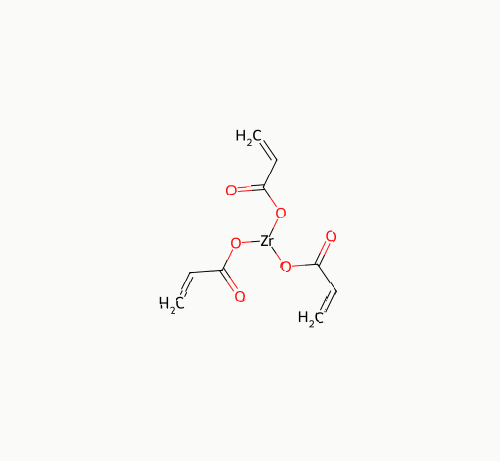 C=CC(=O)[O][Zr]([O]C(=O)C=C)[O]C(=O)C=C